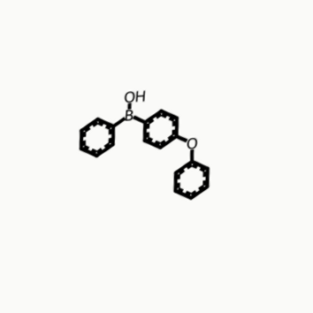 OB(c1ccccc1)c1ccc(Oc2ccccc2)cc1